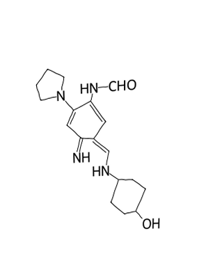 N=C1C=C(N2CCCC2)C(NC=O)=C/C1=C/NC1CCC(O)CC1